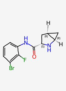 O=C(Nc1cccc(Br)c1F)[C@@H]1C[C@H]2C[C@H]2N1